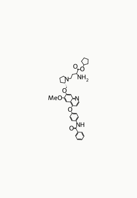 COc1cc2c(Oc3ccc(NC(=O)c4ccccc4)cc3)ccnc2cc1OC[C@@H]1CCCN1CCC(N)C(=O)OC1CCCC1